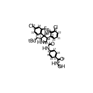 CC(C)(C)C[C@@H]1N[C@@H](C(=O)Nc2ccc(C(=O)NO)cc2)[C@H](c2cccc(Cl)c2F)[C@@]1(N)c1ccc(Cl)cc1F